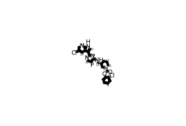 O=C(Oc1ccccc1Cl)N1CCC[C@H](CNc2nc(-c3c[nH]c4ncc(Cl)cc34)ncc2F)C1